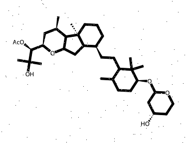 CC(=O)O[C@@H]([C@H]1C[C@@H](C)C2C(CC3[C@H](CCC4C(C)CC[C@H](OC5C[C@@H](O)CCO5)C4(C)C)CCC[C@@]32C)O1)C(C)(C)O